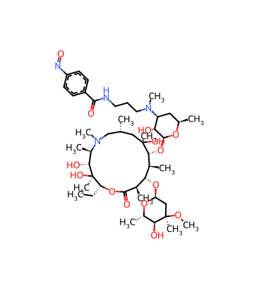 CC[C@H]1OC(=O)[C@H](C)[C@@H](O[C@H]2C[C@@](C)(OC)[C@@H](O)[C@H](C)O2)[C@H](C)[C@@H](O[C@@H]2O[C@H](C)C[C@H](N(C)CCCNC(=O)c3ccc(N=O)cc3)[C@H]2O)[C@](C)(O)C[C@@H](C)CN(C)[C@H](C)[C@@H](O)[C@]1(C)O